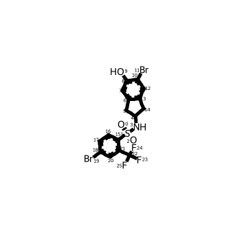 O=S(=O)(NC1Cc2cc(O)c(Br)cc2C1)c1ccc(Br)cc1C(F)(F)F